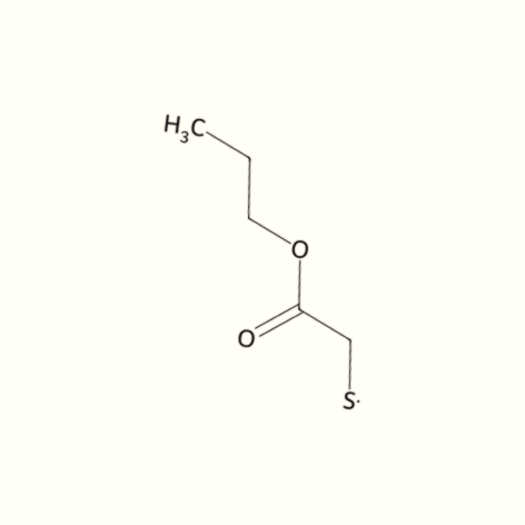 CCCOC(=O)C[S]